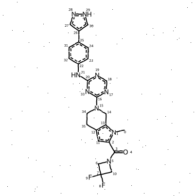 Cn1c(C(=O)N2CC(F)(F)C2)cc2c1CN(c1ncnc(Nc3ccc(-c4cn[nH]c4)cc3)n1)CC2